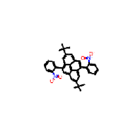 CC(C)(C)c1cc2cc(-c3ccccc3[N+](=O)[O-])c3cc(C(C)(C)C)cc4cc(-c5ccccc5[N+](=O)[O-])c(c1)c2c43